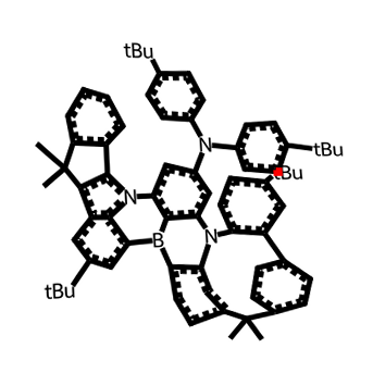 CC(C)(C)c1ccc(N(c2ccc(C(C)(C)C)cc2)c2cc3c4c(c2)-n2c5c(c6cc(C(C)(C)C)cc(c62)B4c2ccc4cc2N3c2ccc(C(C)(C)C)cc2-c2ccc(cc2)C4(C)C)C(C)(C)c2ccccc2-5)cc1